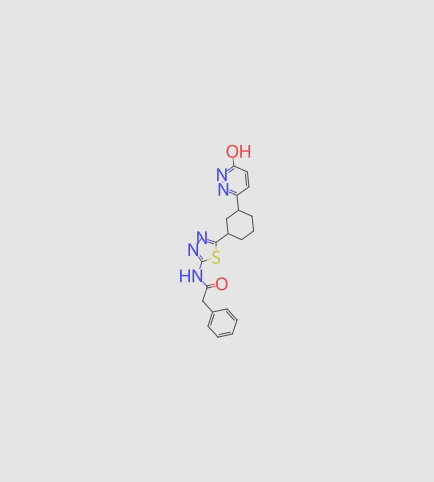 O=C(Cc1ccccc1)Nc1nnc(C2CCCC(c3ccc(O)nn3)C2)s1